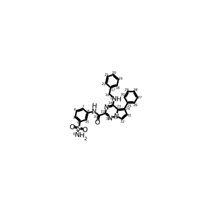 NS(=O)(=O)c1cccc(NC(=O)c2nc(NCc3ccccc3)c3c(-c4ccccc4)ccn3n2)c1